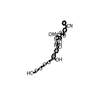 C#CCOCCOCCOCCOCCN1CCN(C2CCN(C(=O)c3ncn(-c4ncc(OC)c5c(C(=O)C(=O)N6CCC(=C(C#N)c7ccccc7)CC6)c[nH]c45)n3)CC2)CC1CO